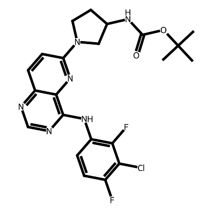 CC(C)(C)OC(=O)NC1CCN(c2ccc3ncnc(Nc4ccc(F)c(Cl)c4F)c3n2)C1